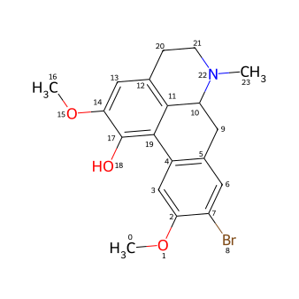 COc1cc2c(cc1Br)CC1c3c(cc(OC)c(O)c3-2)CCN1C